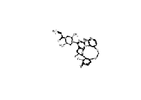 C=CC(=O)N1C[C@H](C)N(c2nc(=O)n3c4nc(c(F)cc24)-c2c(ccc(F)c2F)OCCOc2ccnc(C(C)C)c2-3)C[C@H]1C